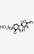 CCN1C(=O)N(OS(=O)(=O)O)CC[C@H]1C(=O)NN(C)C(=O)C(C)C